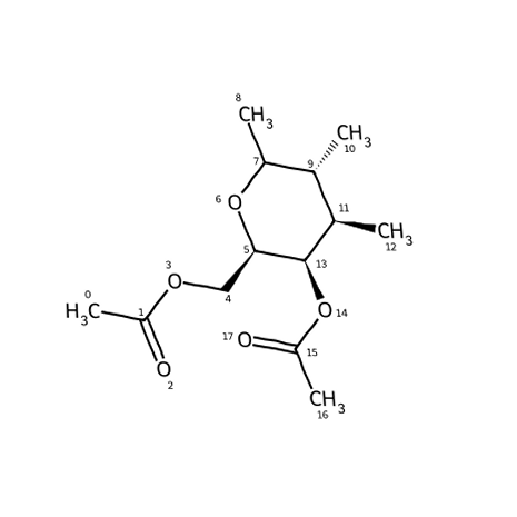 CC(=O)OC[C@H]1OC(C)[C@H](C)[C@@H](C)[C@H]1OC(C)=O